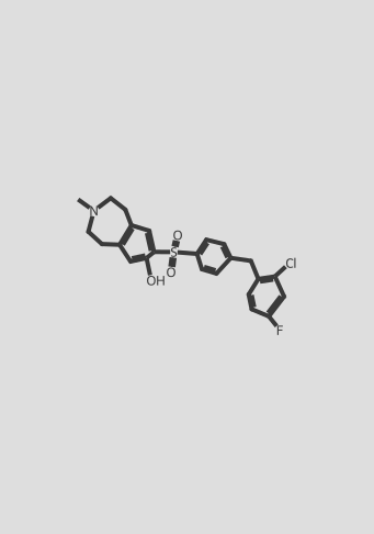 CN1CCc2cc(O)c(S(=O)(=O)c3ccc(Cc4ccc(F)cc4Cl)cc3)cc2CC1